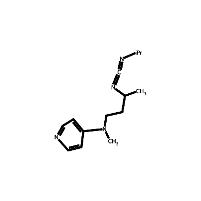 CC(C)N=C=NC(C)CCN(C)c1ccncc1